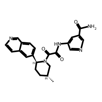 C[C@@H]1CC[C@@H](c2ccc3cnccc3c2)N(C(=O)C(=O)Nc2cncc(C(N)=O)c2)C1